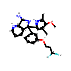 COc1c(C)cc(C2(c3cccc(OCCC(F)F)c3)NC(N)c3ncccc32)nc1C